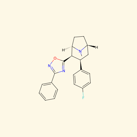 CN1[C@@H]2CC[C@@H]1[C@H](c1nc(-c3ccccc3)no1)[C@H](c1ccc(F)cc1)C2